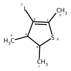 CC1=C(I)C(C)C(C)S1